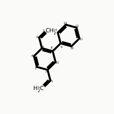 C=Cc1ccc(C=C)c(-c2ccccc2)c1